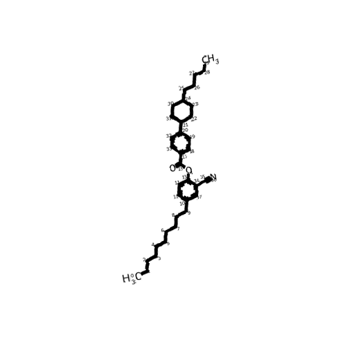 CCCCCCCCCCc1ccc(OC(=O)c2ccc(C3CCC(CCCCC)CC3)cc2)c(C#N)c1